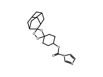 O=C(OC1CCC2(CC1)OOC1(O2)C2CC3CC(C2)CC1C3)n1ccnc1